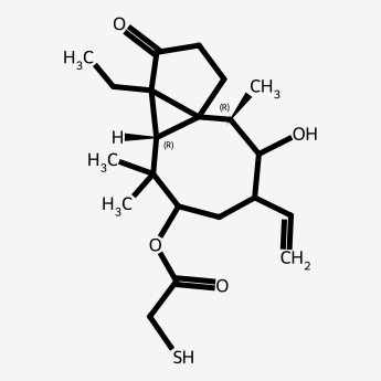 C=CC1CC(OC(=O)CS)C(C)(C)[C@@H]2C3(CC)C(=O)CCC23[C@@H](C)C1O